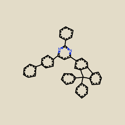 c1ccc(-c2ccc(-c3cc(-c4ccc5c(c4)C(c4ccccc4)(c4ccccc4)c4ccccc4-5)nc(-c4ccccc4)n3)cc2)cc1